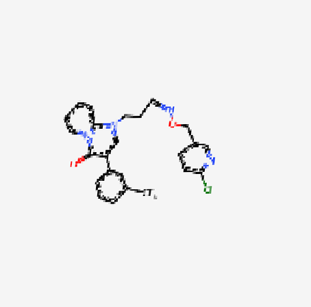 O=c1c(-c2cccc(C(F)(F)F)c2)cn(CC/C=N\OCc2ccc(Cl)nc2)c2cccc[n+]12